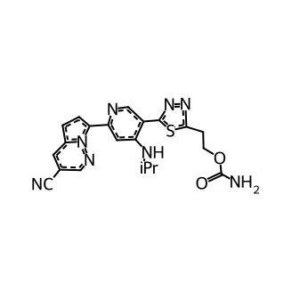 CC(C)Nc1cc(-c2ccc3cc(C#N)cnn23)ncc1-c1nnc(CCOC(N)=O)s1